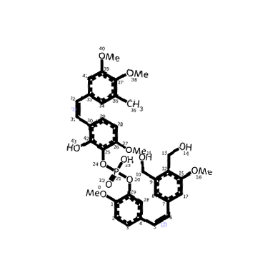 COc1ccc(/C=C\c2cc(CO)c(CO)c(OC)c2)cc1OP(=O)(O)Oc1c(OC)ccc(/C=C\c2cc(C)c(OC)c(OC)c2)c1O